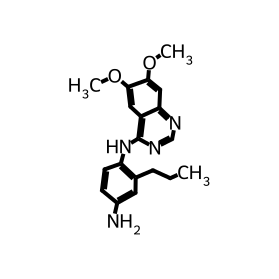 CCCc1cc(N)ccc1Nc1ncnc2cc(OC)c(OC)cc12